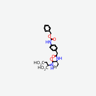 CC(C)C[C@H](NC(=O)Cc1ccc(NC(=O)OCc2ccccc2)cc1)C(=O)N[C@@H](CC(=O)O)C(=O)O